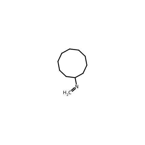 C=NC1CCCCCCCCC1